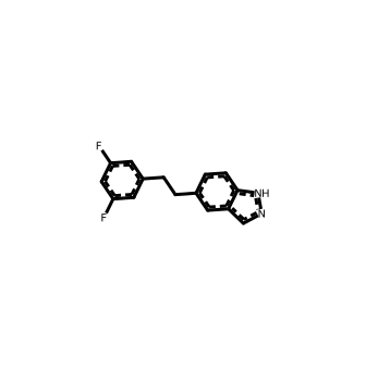 Fc1cc(F)cc(CCc2ccc3[nH]ncc3c2)c1